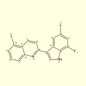 Fc1cc(F)c2[nH]cc(-c3ccc4c(F)cccc4n3)c2c1